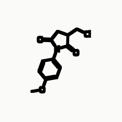 COc1ccc(N2C(=O)CC(CCl)C2=O)cc1